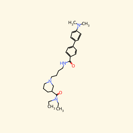 CCN(CC)C(=O)C1CCCN(CCCCNC(=O)c2ccc(-c3ccc(N(C)C)cc3)cc2)C1